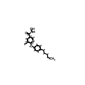 CCCCCc1ccc(Oc2ncc(C(=O)NO)cc2F)cc1